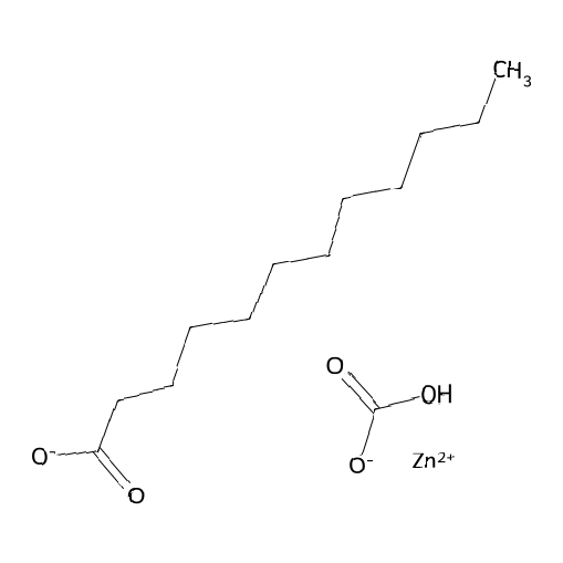 CCCCCCCCCCCC(=O)[O-].O=C([O-])O.[Zn+2]